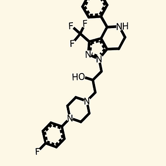 OC(CN1CCN(c2ccc(F)cc2)CC1)Cn1nc(C(F)(F)F)c2c1CCNC2c1ccccc1